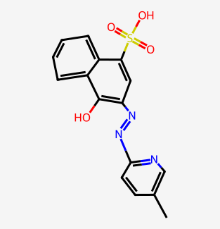 Cc1ccc(N=Nc2cc(S(=O)(=O)O)c3ccccc3c2O)nc1